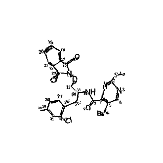 CSc1ncc(Br)c(C(=O)N[C@@H](CON2C(=O)c3ccccc3C2=O)Cc2ccc(C)cc2Cl)n1